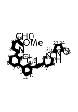 COc1nc(-c2cccc(-c3cccc(C#CC4CCCN(C[C@@H]5CCC(=O)N5)C4)c3C)c2C)ccc1C=O